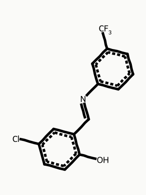 Oc1ccc(Cl)cc1C=Nc1cccc(C(F)(F)F)c1